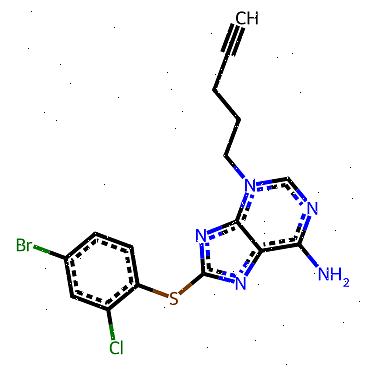 C#CCCCn1cnc(N)c2nc(Sc3ccc(Br)cc3Cl)nc1-2